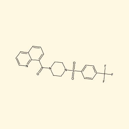 O=C(c1cccc2cccnc12)N1CCN(S(=O)(=O)c2ccc(C(F)(F)F)cc2)CC1